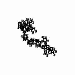 CC(C)(C)OC(=O)N1CCC[C@H]1c1ncc(-c2cnc(-c3ncc(-c4c[nH]c([C@@]5(C(C)(C)C)CCCN5C(=O)O)n4)s3)s2)[nH]1